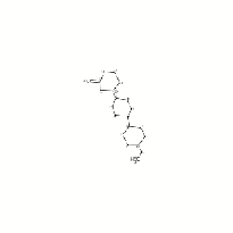 CCC1CCC(C2CCC(C3CCCC(=O)C3)CC2)CC1